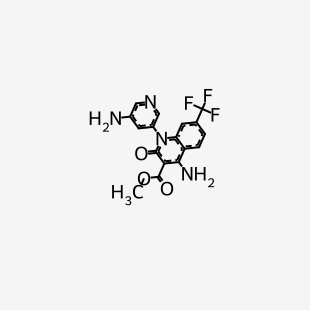 COC(=O)c1c(N)c2ccc(C(F)(F)F)cc2n(-c2cncc(N)c2)c1=O